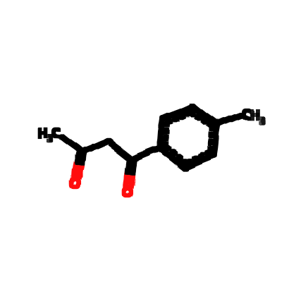 CC(=O)CC(=O)c1ccc(C)cc1